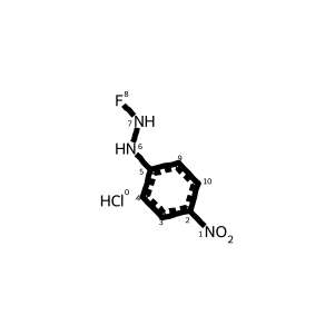 Cl.O=[N+]([O-])c1ccc(NNF)cc1